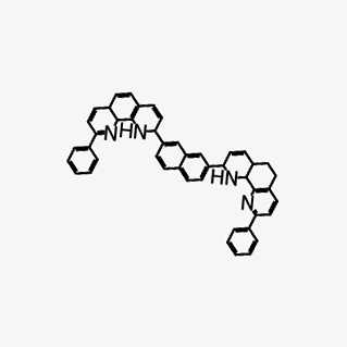 C1=CC2C=CC3=C(NC(c4ccc5ccc(C6C=CC7CCc8ccc(-c9ccccc9)nc8C7N6)cc5c4)C=C3)C2N=C1c1ccccc1